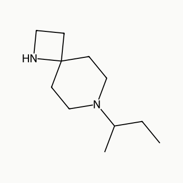 CCC(C)N1CCC2(CCN2)CC1